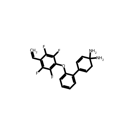 C=Cc1c(F)c(F)c(Oc2ccccc2C2=CCC(N)(N)C=C2)c(F)c1F